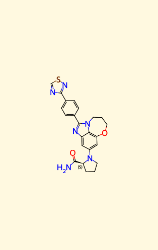 NC(=O)[C@@H]1CCCN1c1cc2c3c(c1)nc(-c1ccc(-c4ncsn4)cc1)n3CCCO2